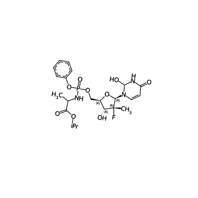 CC(C)OC(=O)C(C)NP(=O)(OC[C@H]1O[C@@H](N2C=CC(=O)NC2O)[C@](C)(F)[C@@H]1O)Oc1ccccc1